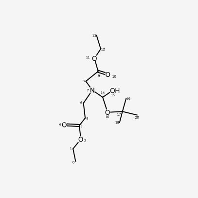 CCOC(=O)CCN(CC(=O)OCC)C(O)OC(C)(C)C